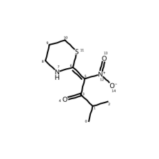 CC(C)C(=O)C(=C1NCCCS1)[N+](=O)[O-]